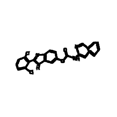 O=C(Nc1cc2ccccc2cn1)Oc1ccc2nc(-c3c(Cl)cccc3Cl)[nH]c2c1